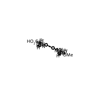 COC(=O)N[C@H](C(=O)N1[C@@H]2C[C@@H]2C[C@H]1c1nc(-c2ccc(C#Cc3ccc4[nH]c([C@@H]5C[C@H]6C[C@H]6N5C(=O)[C@@H](NC(=O)O)C(C)C)nc4c3)cc2)c[nH]1)C(C)C